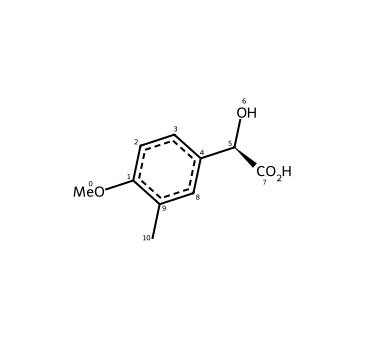 COc1ccc([C@@H](O)C(=O)O)cc1C